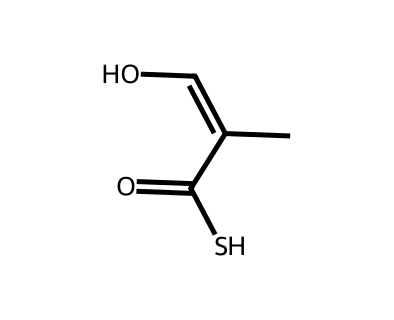 CC(=CO)C(=O)S